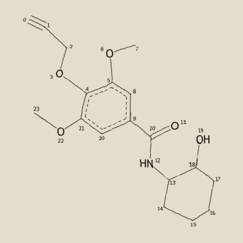 C#CCOc1c(OC)cc(C(=O)NC2CCCCC2O)cc1OC